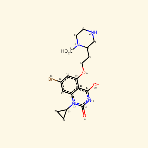 O=C(O)N1CCNCC1CCOc1cc(Br)cc2c1c(O)nc(=O)n2C1CC1